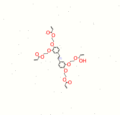 C=CC(=O)OCCOc1ccc(/C=C/c2ccc(OCCOC(=O)C=C)c(OCCOC(O)C=C)c2)cc1OCCOC(=O)C=C